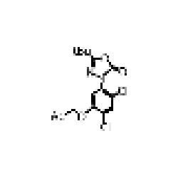 CC(=O)COc1cc(-n2nc(C(C)(C)C)oc2=O)c(Cl)cc1Cl